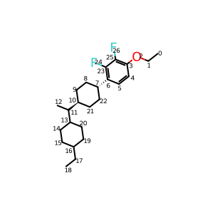 CCOc1ccc([C@H]2CC[C@H](C(C)C3CCC(CC)CC3)CC2)c(F)c1F